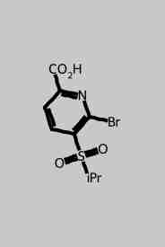 CC(C)S(=O)(=O)c1ccc(C(=O)O)nc1Br